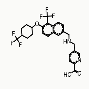 O=C(O)c1ccc(CNCc2ccc3c(C(F)(F)F)c(OC4CCC(C(F)(F)F)CC4)ccc3c2)cn1